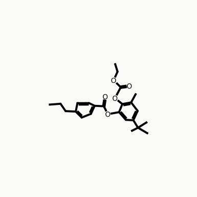 CCCc1ccc(C(=O)Oc2cc(C(C)(C)C)cc(C)c2OC(=O)OCC)cc1